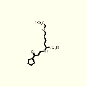 CCOC(=O)COCCCCC(NCCC(=O)C1CCCC1)C(=O)OCC